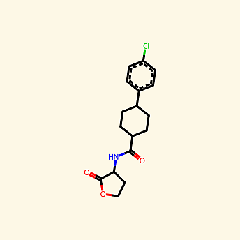 O=C(NC1CCOC1=O)C1CCC(c2ccc(Cl)cc2)CC1